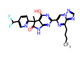 CC1(c2ccc(C(F)F)cn2)C(=O)Nc2nc(-c3cn4ncnc4c(CCCC(F)(F)F)n3)nc(O)c21